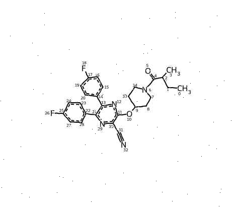 CCC(C)C(=O)N1CCC(Oc2nc(-c3ccc(F)cc3)c(-c3ccc(F)cc3)nc2C#N)CC1